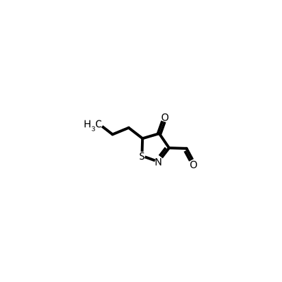 CCCC1SN=C(C=O)C1=O